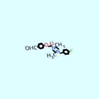 C[C@@H]1CN(Cc2ccc(F)cc2)[C@@H](C)CN1C(=O)COc1ccc(C=O)cc1